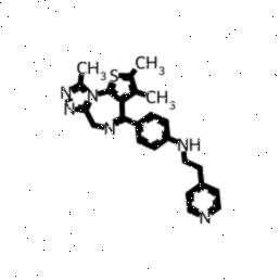 Cc1sc2c(c1C)C(c1ccc(NCCc3ccncc3)cc1)=NCc1nnc(C)n1-2